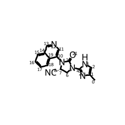 Cc1c[nH]c(N2C[C@H](C#N)N(c3cncc4ccccc34)C2=O)n1